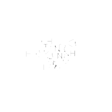 CCOc1cc([C@H](CS(C)(=O)=O)n2c(=O)[nH]c3c(-c4ccccc4)ccnc32)ccc1OC